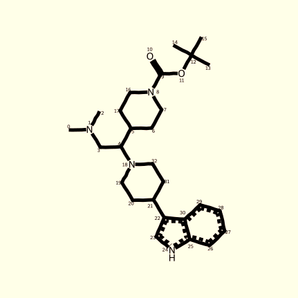 CN(C)CC(C1CCN(C(=O)OC(C)(C)C)CC1)N1CCC(c2c[nH]c3ccccc23)CC1